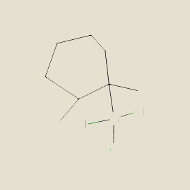 CC1CCCCC1(C)[Si](Cl)(Cl)Cl